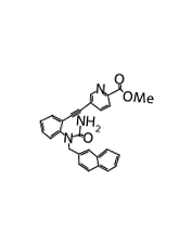 COC(=O)c1ccc(C#Cc2ccccc2N(Cc2ccc3ccccc3c2)C(N)=O)cn1